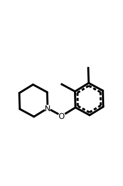 Cc1cccc(ON2CCCCC2)c1C